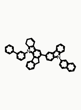 C1=Cc2c(n(-c3cccc(-c4ccccc4)c3)c3c4c(c(-c5ccc6c(c5)c5ccccc5n6-c5ccc6ccccc6c5)cc23)Cc2ccccc2-4)CC1